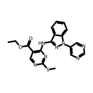 CCOC(=O)c1cnc(SC)nc1Nc1nn(-c2cncnc2)c2ccccc12